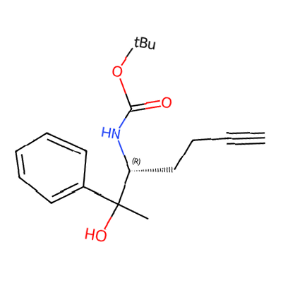 C#CCC[C@@H](NC(=O)OC(C)(C)C)C(C)(O)c1ccccc1